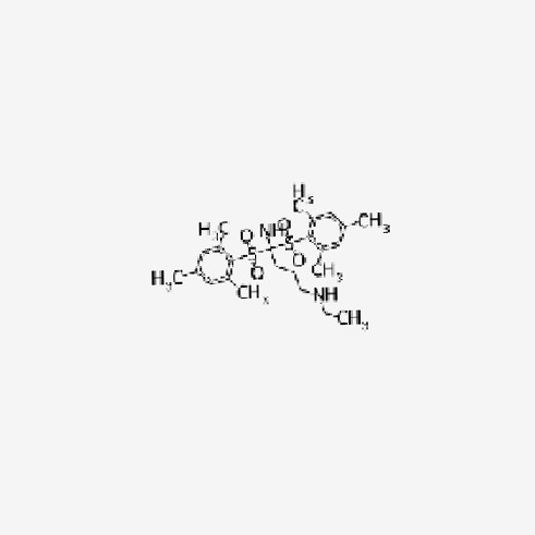 CCNCCCC(N)(S(=O)(=O)c1c(C)cc(C)cc1C)S(=O)(=O)c1c(C)cc(C)cc1C